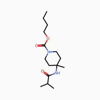 CCCCOC(=O)N1CCC(C)(NC(=O)C(C)C)CC1